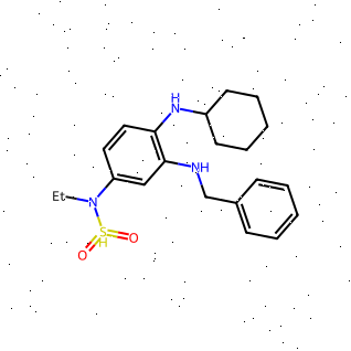 [CH2]CN(c1ccc(NC2CCCCC2)c(NCc2ccccc2)c1)[SH](=O)=O